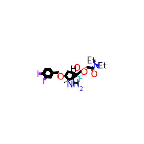 CCN(CC)C(=O)COC(=O)[C@@]1(F)[C@@H]2C[C@@H](OCc3ccc(I)c(I)c3)[C@](C)(N)[C@@H]21